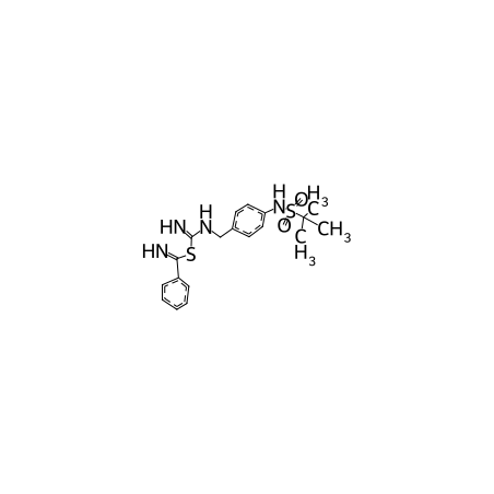 CC(C)(C)S(=O)(=O)Nc1ccc(CNC(=N)SC(=N)c2ccccc2)cc1